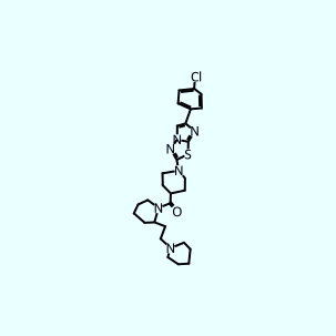 O=C(C1CCN(c2nn3cc(-c4ccc(Cl)cc4)nc3s2)CC1)N1CCCCC1CCN1CCCCC1